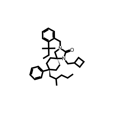 CCCC(C)C[C@]1(c2ccccc2)CC[C@]2(CC1)CN(Cc1ccccc1C(C)(C)CC)C(=O)N2CC1CCC1